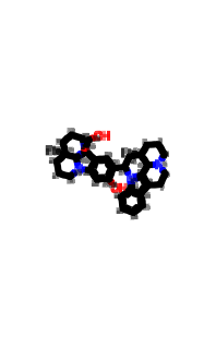 CCC12CCCN3CCc4c(n(c5ccccc45)C(c4cc5c(cc4O)N4CCCC6(CC)CCCN7CCC5(CO)C746)C1)C32